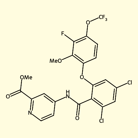 COC(=O)c1cc(NC(=O)c2c(Cl)cc(Cl)cc2Oc2ccc(OC(F)(F)F)c(F)c2OC)ccn1